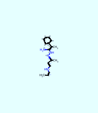 C/C=C\N/C=C/C(C)=N/N/C(N)=C(\C)c1ccccc1